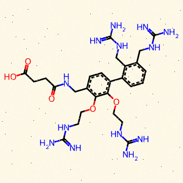 N=C(N)NCCOc1c(CNC(=O)CCC(=O)O)ccc(-c2cccc(CNC(=N)N)c2CNC(=N)N)c1OCCNC(=N)N